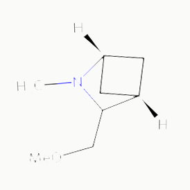 COCC1[C@H]2C[C@H](C2)N1C